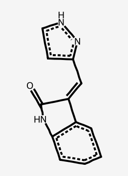 O=C1Nc2ccccc2C1=Cc1cc[nH]n1